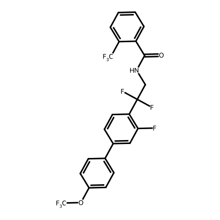 O=C(NCC(F)(F)c1ccc(-c2ccc(OC(F)(F)F)cc2)cc1F)c1ccccc1C(F)(F)F